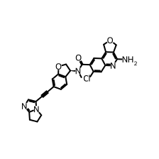 CN(C(=O)c1cc2c3c(c(N)nc2cc1Cl)COC3)[C@@H]1COc2cc(C#Cc3cnc4n3CCC4)ccc21